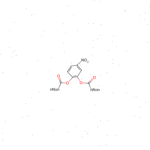 CCCCCCCCCC(=O)Oc1ccc([N+](=O)[O-])cc1OC(=O)CCCCCCCCC